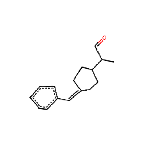 CC(C=O)C1CCC(=Cc2ccccc2)CC1